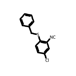 [C-]#[N+]c1cc(Cl)ccc1SCc1ccccc1